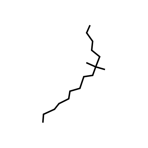 CCCCCCCCCC(C)(C)CCCCC